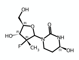 C[C@]1(F)C(N2CC[C@H](O)NC2=O)O[C@H](CO)[C@H]1O